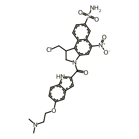 CN(C)CCOc1ccc2[nH]c(C(=O)N3CC(CCl)c4c3cc([N+](=O)[O-])c3cc(S(N)(=O)=O)ccc43)cc2c1